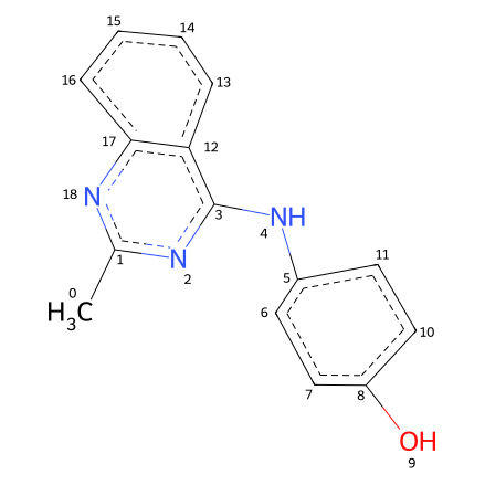 Cc1nc(Nc2ccc(O)cc2)c2ccccc2n1